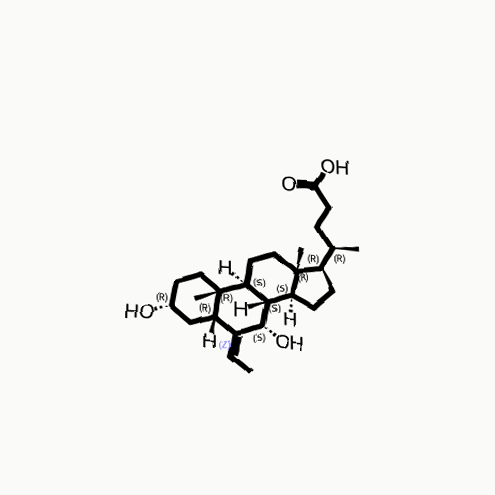 C/C=C1\[C@@H](O)[C@@H]2[C@H](CC[C@]3(C)[C@@H]([C@H](C)CCC(=O)O)CC[C@@H]23)[C@@]2(C)CC[C@@H](O)C[C@@H]12